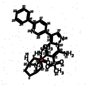 CNC(=O)N1C2CC[C@H]1C[C@@H](c1nc3c(-c4ccc(-c5ccccc5)nc4)cnn3c(N)c1S(C)(=O)=O)C2